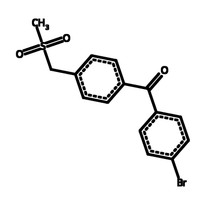 CS(=O)(=O)Cc1ccc(C(=O)c2ccc(Br)cc2)cc1